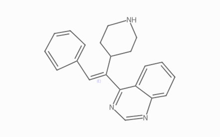 C(=C(\c1ncnc2ccccc12)C1CCNCC1)/c1ccccc1